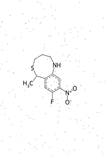 CC1SCCCNc2cc([N+](=O)[O-])c(F)cc21